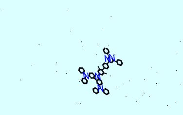 Cc1cc(-n2c3ccc(N(c4ccccc4)c4ccccc4)cc3c3cc(N(c4ccccc4)c4ccccc4)ccc32)cc(C)c1-c1ccc(-c2cc(-c3ccccc3)nc(-c3ccccc3)n2)cc1